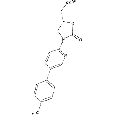 CC(=O)NC[C@H]1CN(c2ccc(-c3ccc(C)cc3)cn2)C(=O)O1